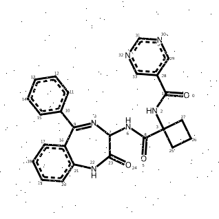 O=C(NC1(C(=O)NC2N=C(c3ccccc3)c3ccccc3NC2=O)CCC1)c1cncnc1